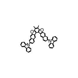 Cc1c(C)c2oc3cc4cc(-n5c6ccccc6c6ccccc65)ccc4cc3c2c2c1oc1cc3cc(-n4c5ccccc5c5ccccc54)ccc3cc12